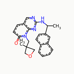 CC(Nc1ncc2ccc(=O)n(CC3(C)COC3)c2n1)c1ccc2ccccc2c1